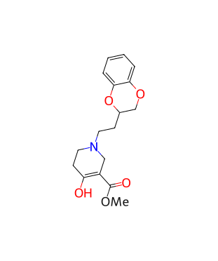 COC(=O)C1=C(O)CCN(CCC2COc3ccccc3O2)C1